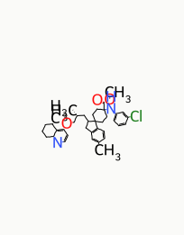 COC(=O)C1(Nc2cccc(Cl)c2)CCC2(CC1)c1ccc(C)cc1CC2C[C@@H](C)COc1ccnc2c1[C@H](C)CCC2